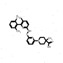 Cc1cccc(C)c1-c1nc(NSc2cccc(N3CCC(C)(C(=O)O)CC3)n2)ccc1Cl